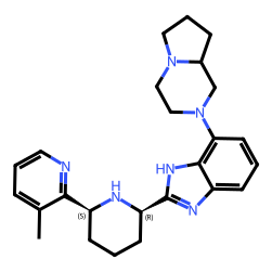 Cc1cccnc1[C@@H]1CCC[C@H](c2nc3cccc(N4CCN5CCCC5C4)c3[nH]2)N1